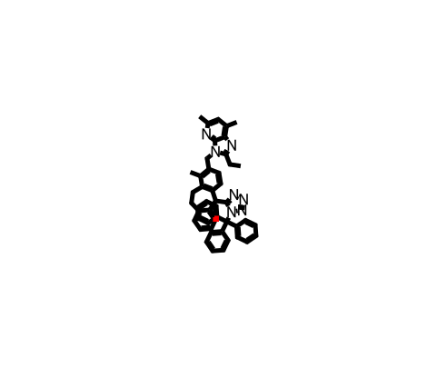 CCc1nc2c(C)cc(C)nc2n1Cc1ccc2c(c1C)CCc1ccccc1C2c1nnnn1C(c1ccccc1)(c1ccccc1)c1ccccc1